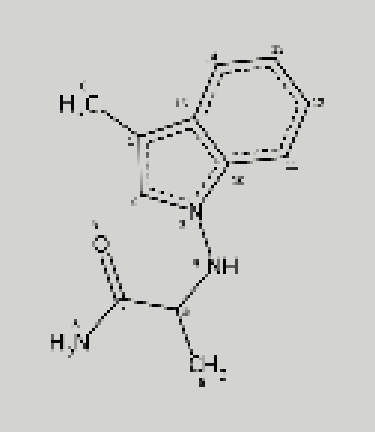 Cc1cn(NC(C)C(N)=O)c2ccccc12